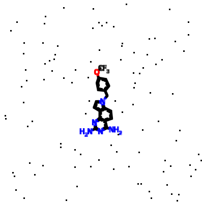 Nc1nc(N)c2ccc3c(ccn3Cc3ccc(OC(F)(F)F)cc3)c2n1